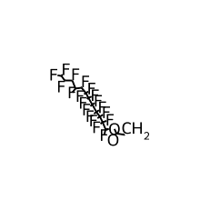 C=CC(=O)OC(F)C(F)(F)C(F)(F)C(F)(F)C(F)(F)C(F)(F)C(F)(F)C(F)C(F)C(F)C(F)C(F)F